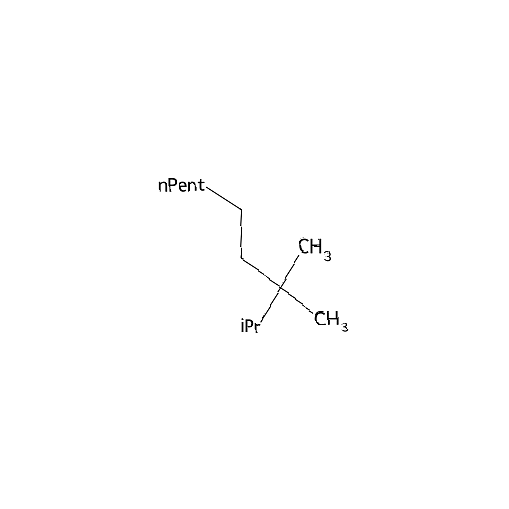 CCCCCCCC(C)(C)C(C)C